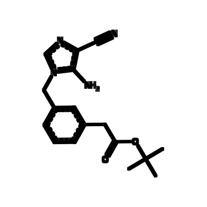 CC(C)(C)OC(=O)Cc1cccc(Cn2cnc(C#N)c2N)c1